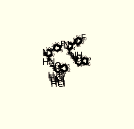 Cl.Cl.Cl.Cl.Fc1ccc(-c2cncc(CNCC3CCc4ccccc4O3)c2)cc1.Fc1ccc(-c2cncc(CNCC3CCc4ccccc4O3)c2)cc1.O